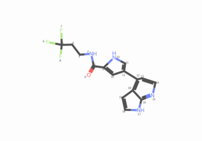 O=C(NCCC(F)(F)F)c1cc(-c2ccnc3[nH]ccc23)c[nH]1